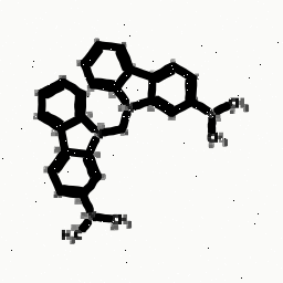 CN(C)c1ccc2c3ccccc3n(Cn3c4ccccc4c4ccc(N(C)C)cc43)c2c1